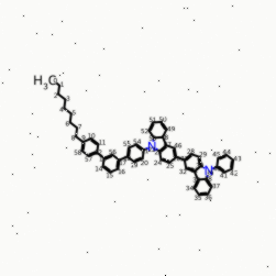 CCCCCCCCCc1ccc(-c2cccc(-c3ccc(N4c5ccc(-c6ccc7c(c6)c6ccccc6n7-c6ccccc6)cc5C5C=CC=CC54)cc3)c2)cc1